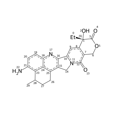 CC[C@@]1(O)C(=O)OCc2c1cc1n(c2=O)Cc2c-1nc1ccc(N)c3c1c2CCC3C